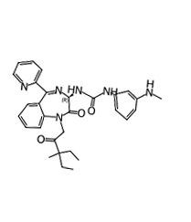 CCC(C)(CC)C(=O)CN1C(=O)[C@H](NC(=O)Nc2cccc(NC)c2)N=C(c2ccccn2)c2ccccc21